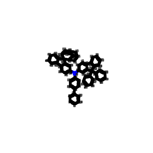 c1ccc(-c2ccc(N(c3ccc4c(c3)C(c3ccccc3)(c3ccccc3)c3ccccc3-4)c3ccc4c(c3)C3(c5ccccc5-4)C4CC5CC(C4)CC3C5)cc2)cc1